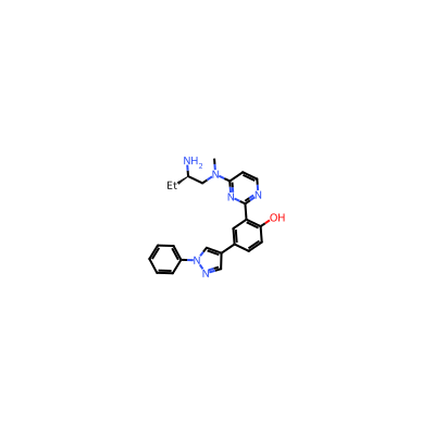 CC[C@@H](N)CN(C)c1ccnc(-c2cc(-c3cnn(-c4ccccc4)c3)ccc2O)n1